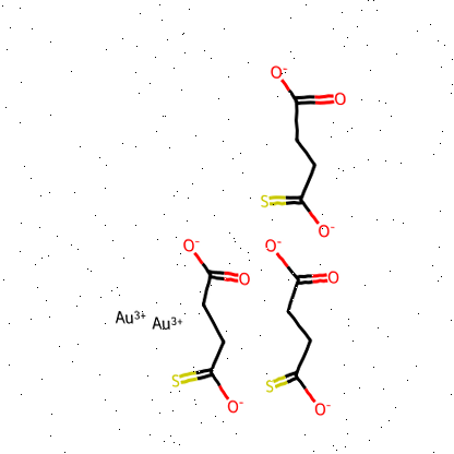 O=C([O-])CCC([O-])=S.O=C([O-])CCC([O-])=S.O=C([O-])CCC([O-])=S.[Au+3].[Au+3]